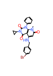 Cn1c(=O)cc(NCc2ccc(Br)cc2)c2c(=O)n(C3CC3)c(=O)n(-c3ccccc3)c21